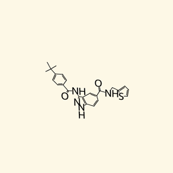 CC(C)(C)c1ccc(C(=O)Nc2n[nH]c3ccc(C(=O)NCc4cccs4)cc23)cc1